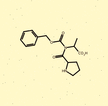 CC(C(=O)O)N(C(=O)OCc1ccccc1)C(=O)C1CCCN1